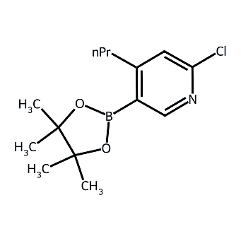 CCCc1cc(Cl)ncc1B1OC(C)(C)C(C)(C)O1